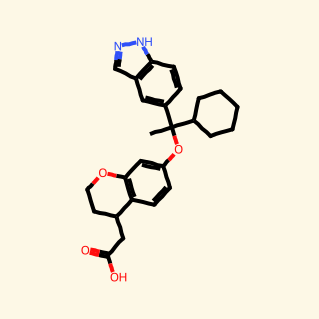 CC(Oc1ccc2c(c1)OCCC2CC(=O)O)(c1ccc2[nH]ncc2c1)C1CCCCC1